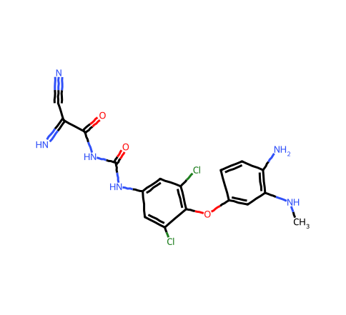 CNc1cc(Oc2c(Cl)cc(NC(=O)NC(=O)C(=N)C#N)cc2Cl)ccc1N